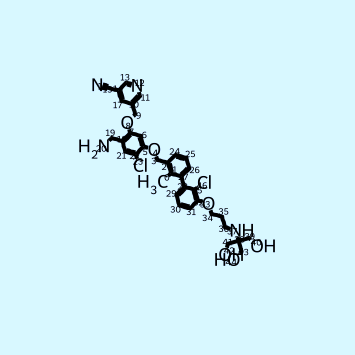 Cc1c(COc2cc(OCc3cncc(C#N)c3)c(CN)cc2Cl)cccc1-c1cccc(OCCCNC(CO)(CO)CO)c1Cl